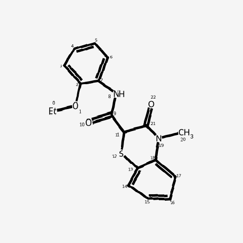 CCOc1ccccc1NC(=O)C1Sc2ccccc2N(C)C1=O